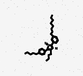 CCCCCCCCc1cccc(C2=CC(CCCC)=C(c3ccc(CCCCC)cc3)[N+]2=[N-])c1.[Ni]